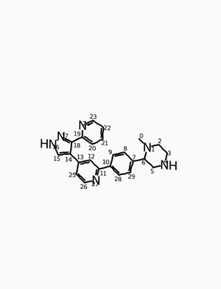 CN1CCNCC1c1ccc(-c2cc(-c3c[nH]nc3-c3ccccn3)ccn2)cc1